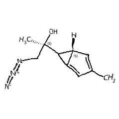 CC1=C[C@@H]2C(=C1)C2[C@](C)(O)CN=[N+]=[N-]